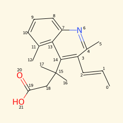 CC=Cc1c(C)nc2cccc(C)c2c1C(C)(C)CC(=O)O